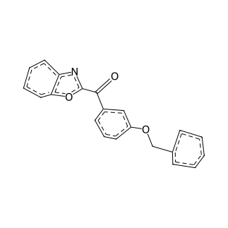 O=C(c1cccc(OCc2ccccc2)c1)c1nc2ccccc2o1